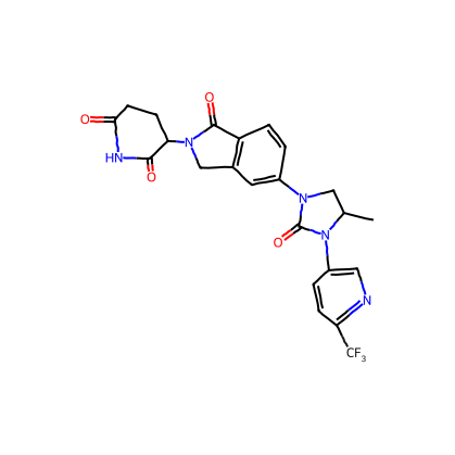 CC1CN(c2ccc3c(c2)CN(C2CCC(=O)NC2=O)C3=O)C(=O)N1c1ccc(C(F)(F)F)nc1